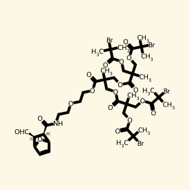 CC(C)(Br)C(=O)OCC(C)(COC(=O)C(C)(C)Br)C(=O)OCC(C)(COC(=O)C(C)(COC(=O)C(C)(C)Br)COC(=O)C(C)(C)Br)C(=O)OCCOCCNC(=O)[C@H]1C2C=CC(O2)[C@H]1C=O